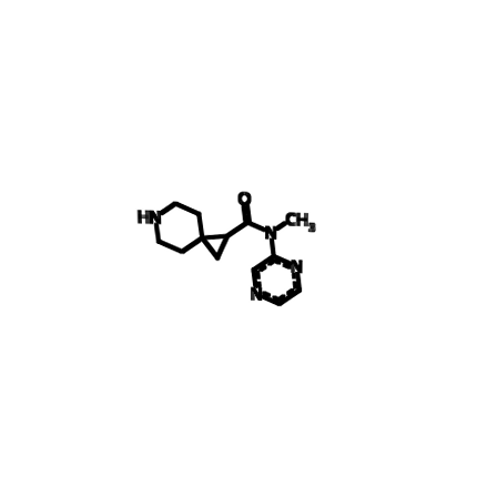 CN(C(=O)C1CC12CCNCC2)c1cnccn1